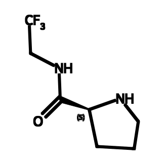 O=C(NCC(F)(F)F)[C@@H]1CCCN1